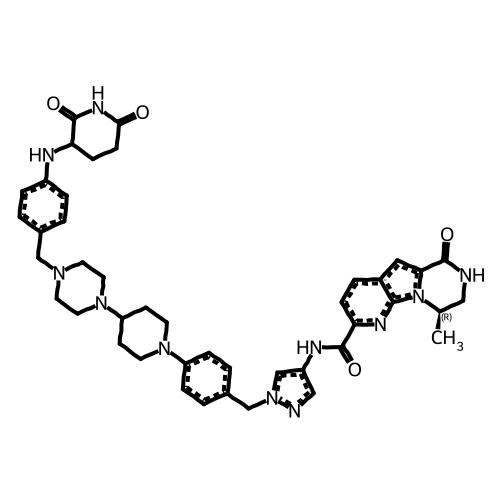 C[C@@H]1CNC(=O)c2cc3ccc(C(=O)Nc4cnn(Cc5ccc(N6CCC(N7CCN(Cc8ccc(NC9CCC(=O)NC9=O)cc8)CC7)CC6)cc5)c4)nc3n21